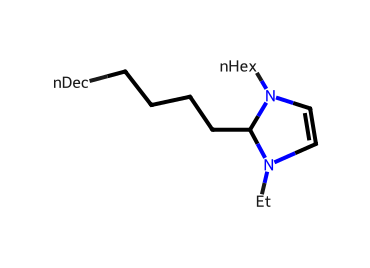 CCCCCCCCCCCCCCC1N(CC)C=CN1CCCCCC